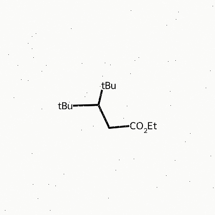 CCOC(=O)CC(C(C)(C)C)C(C)(C)C